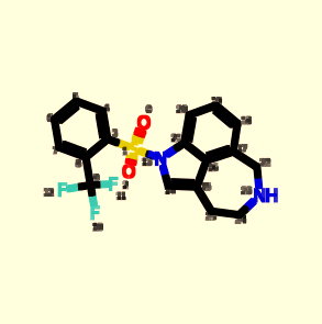 O=S(=O)(c1ccccc1C(F)(F)F)n1cc2c3c(cccc31)CNCC2